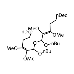 CCCCCCCCCCCCC(OC)=C(OC)C(OCCCC)OC(OCCCC)C(OC)=C(CCCCCCCCCCCC)OC